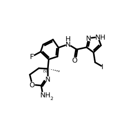 C[C@@]1(c2cc(NC(=O)c3n[nH]cc3CI)ccc2F)CCOC(N)=N1